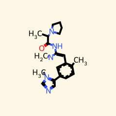 C=N/C(=C\c1cc(-c2cncn2C)ccc1C)NC(=O)C(C)N1CCCC1